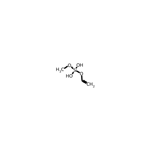 C=CO[Si](O)(O)OC